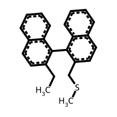 CCc1ccc2ccccc2c1-c1c(CSC)ccc2ccccc12